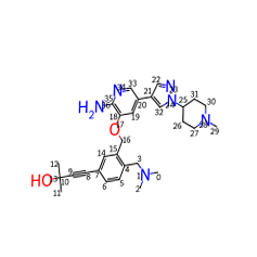 CN(C)Cc1ccc(C#CC(C)(C)O)cc1COc1cc(-c2cnn(C3CCN(C)CC3)c2)cnc1N